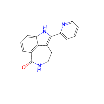 O=C1NCCc2c(-c3ccccn3)[nH]c3cccc1c23